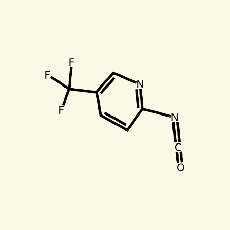 O=C=Nc1ccc(C(F)(F)F)cn1